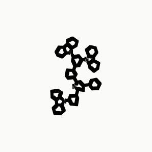 C1=CC2C3=C(CCC=C3)N(c3cc(-c4cccc(-c5cc(-c6ccccc6)cc(-c6cccc(-n7c8ccccc8c8ccccc87)c6)n5)c4)cc(-n4c5c(c6c4C=CCC6)CCC=C5)c3)C2C=C1